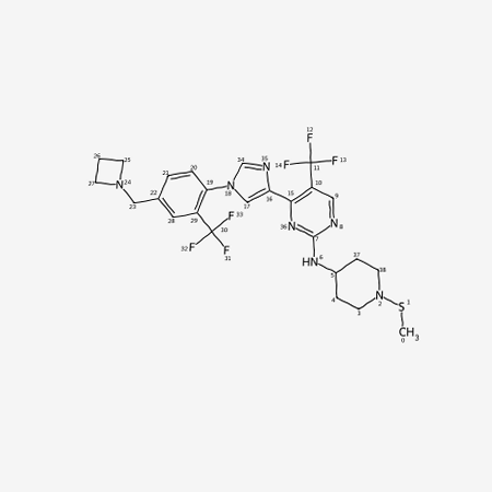 CSN1CCC(Nc2ncc(C(F)(F)F)c(-c3cn(-c4ccc(CN5CCC5)cc4C(F)(F)F)cn3)n2)CC1